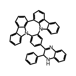 c1ccc(C2Nc3ccccc3N=C2c2ccc3c(c2)n2c4ccccc4c4cccc(c5cccc6c7ccccc7n3c65)c42)cc1